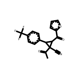 CC(=O)C1(C#N)C(C(=O)c2cccs2)C1c1ccc(C(F)(F)F)cc1